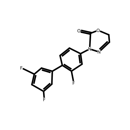 O=C1OCC=NN1c1ccc(-c2cc(F)cc(F)c2)c(F)c1